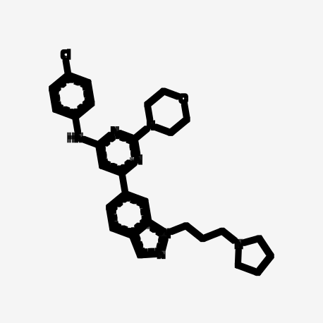 Clc1ccc(Nc2cc(-c3ccc4cnn(CCCN5CCCC5)c4c3)nc(N3CCOCC3)n2)cc1